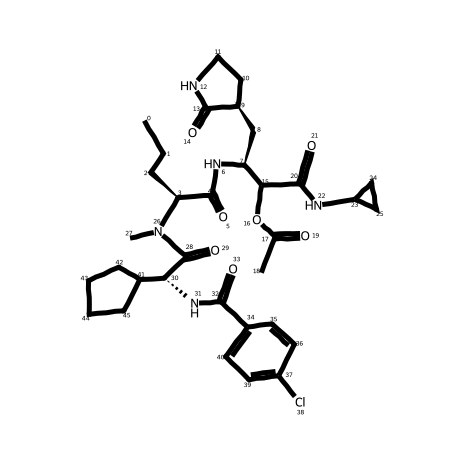 CCC[C@@H](C(=O)N[C@@H](C[C@@H]1CCNC1=O)C(OC(C)=O)C(=O)NC1CC1)N(C)C(=O)[C@H](NC(=O)c1ccc(Cl)cc1)C1CCCC1